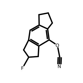 N#COc1c2c(cc3c1CC(F)C3)CCC2